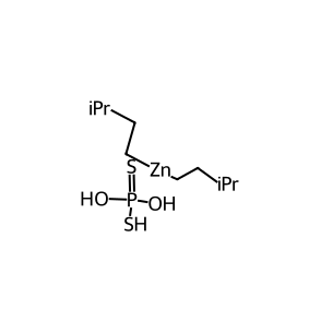 CC(C)C[CH2][Zn][CH2]CC(C)C.OP(O)(=S)S